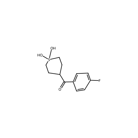 O=C(c1ccc(F)cc1)C1CCS(O)(O)CC1